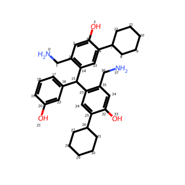 NCc1cc(O)c(C2CCCCC2)cc1C(c1cccc(O)c1)c1cc(C2CCCCC2)c(O)cc1CN